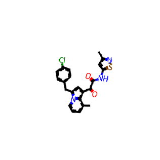 Cc1cc(NC(=O)C(=O)c2cc(Cc3ccc(Cl)cc3)n3cccc(C)c23)sn1